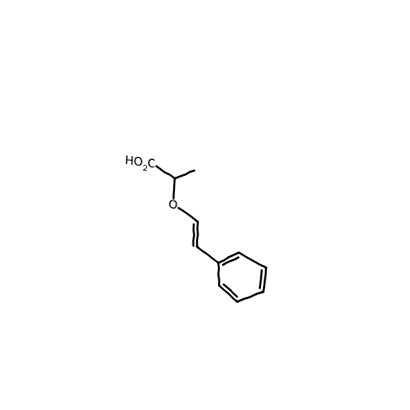 CC(OC=Cc1ccccc1)C(=O)O